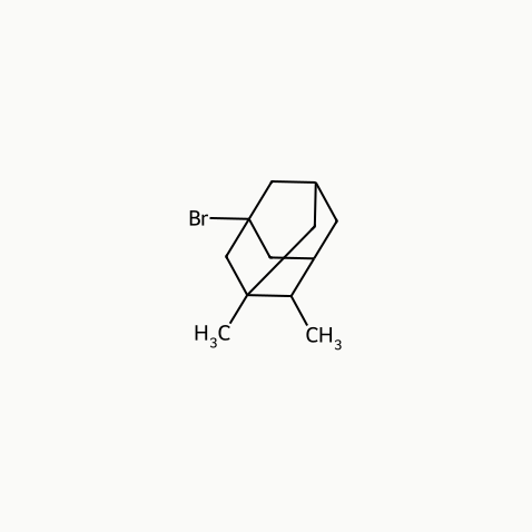 CC1C2CC3CC(Br)(C2)CC1(C)C3